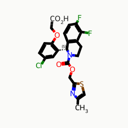 Cc1csc(COC(=O)N2CCc3c(ccc(F)c3F)[C@H]2c2cc(Cl)ccc2OCC(=O)O)n1